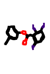 Cc1cccc(OC(=O)c2c(I)ccc(I)c2I)c1